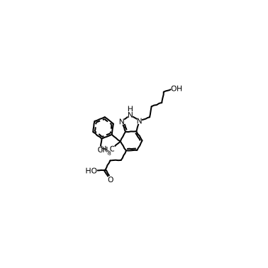 Cc1ccccc1C1(C)C(CCC(=O)O)=CC=C2C1=NNN2CCCCO